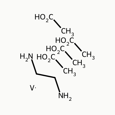 CC(=O)O.CC(=O)O.CC(=O)O.CC(=O)O.NCCN.[V]